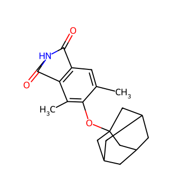 Cc1cc2c(c(C)c1OC13CC4CC(CC(C4)C1)C3)C(=O)NC2=O